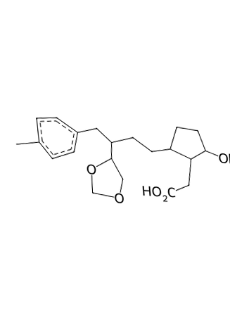 Cc1ccc(CC(CCC2CCC(O)C2CC(=O)O)C2COCO2)cc1